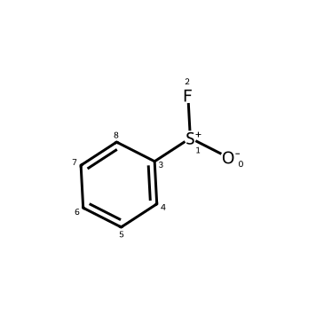 [O-][S+](F)c1ccccc1